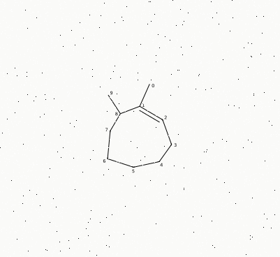 CC1=CCCCCCC1C